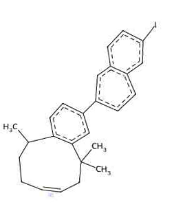 CC1CC/C=C\CC(C)(C)c2cc(-c3ccc4cc(I)ccc4c3)ccc21